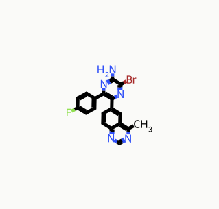 Cc1ncnc2ccc(-c3nc(Br)c(N)nc3-c3ccc(F)cc3)cc12